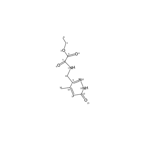 CCOC(=O)C(=O)NCc1n[nH]c(=O)cc1C